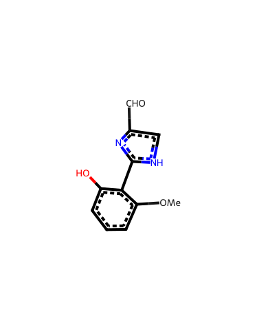 COc1cccc(O)c1-c1nc(C=O)c[nH]1